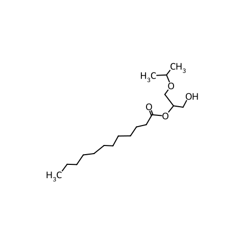 CCCCCCCCCCCC(=O)OC(CO)COC(C)C